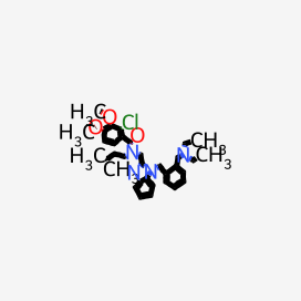 CCN(CC)Cc1ccccc1Cn1c(CN(CCC(C)C)C(=O)c2ccc(OC)c(OC)c2Cl)nc2ccccc21